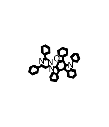 c1ccc(-c2cc(-n3c4ccccc4c4c5c6ccccc6n(-c6ccccc6)c5c5c6ccccc6oc5c43)nc(-c3ccccc3)n2)cc1